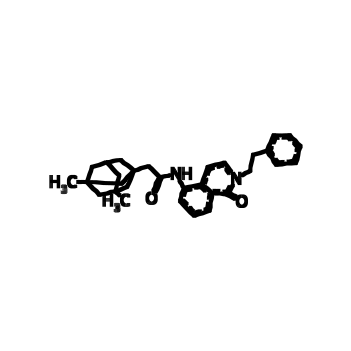 CC12CC3CC(C)(C1)CC(CC(=O)Nc1cccc4c(=O)n(CCc5ccccc5)ccc14)(C3)C2